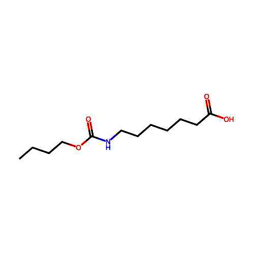 CCCCOC(=O)NCCCCCCC(=O)O